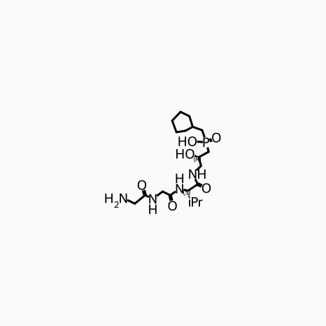 CC(C)[C@H](NC(=O)CNC(=O)CN)C(=O)NC[C@@H](O)CP(=O)(O)CC1CCCCC1